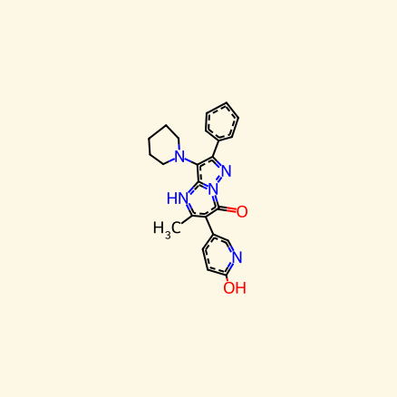 Cc1[nH]c2c(N3CCCCC3)c(-c3ccccc3)nn2c(=O)c1-c1ccc(O)nc1